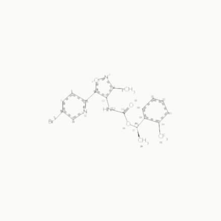 Cc1noc(-c2ccc(Br)cn2)c1NC(=O)O[C@H](C)c1ccccc1C(F)(F)F